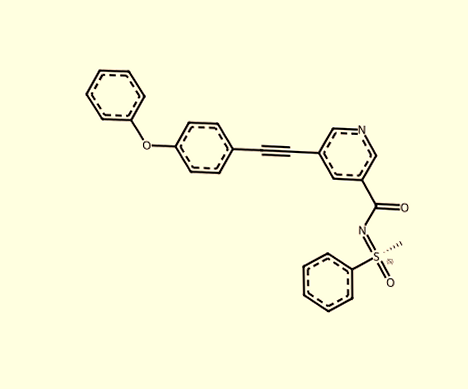 C[S@@](=O)(=NC(=O)c1cncc(C#Cc2ccc(Oc3ccccc3)cc2)c1)c1ccccc1